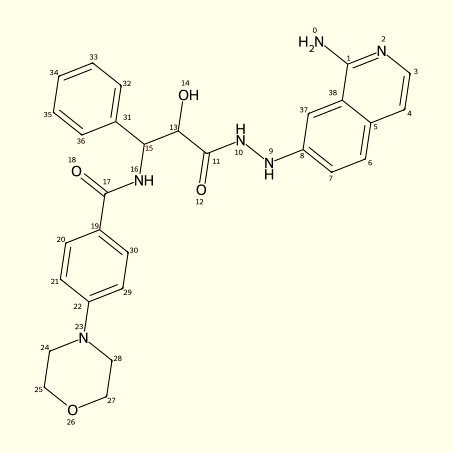 Nc1nccc2ccc(NNC(=O)C(O)C(NC(=O)c3ccc(N4CCOCC4)cc3)c3ccccc3)cc12